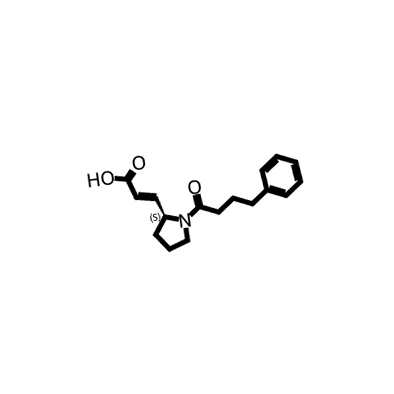 O=C(O)C=C[C@@H]1CCCN1C(=O)CCCc1ccccc1